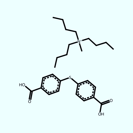 CCCC[N+](C)(CCCC)CCCC.O=C(O)c1ccc(Sc2ccc(C(=O)O)cc2)cc1